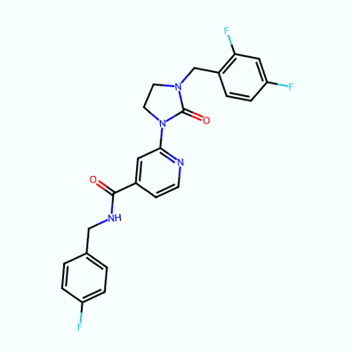 O=C(NCc1ccc(F)cc1)c1ccnc(N2CCN(Cc3ccc(F)cc3F)C2=O)c1